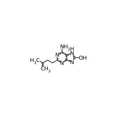 C=C(C)CCc1nc(N)c2[nH]c(O)nc2n1